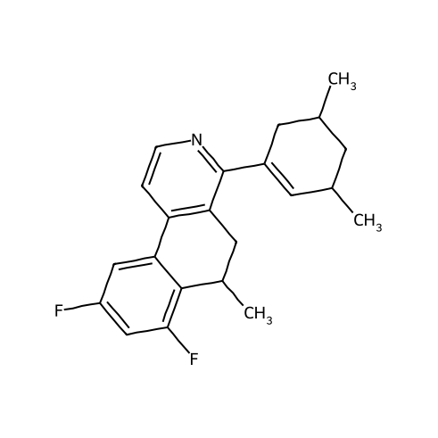 CC1C=C(c2nccc3c2CC(C)c2c(F)cc(F)cc2-3)CC(C)C1